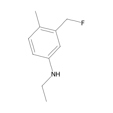 CCNc1ccc(C)c(CF)c1